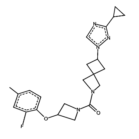 Cc1ccc(OC2CN(C(=O)N3CC4(CC(n5cnc(C6CC6)n5)C4)C3)C2)c(F)c1